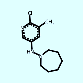 Cc1cc(NN2CCCCCC2)cnc1Cl